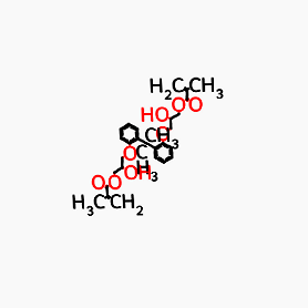 C=C(C)C(=O)OCC(O)COc1ccccc1C(C)(C)c1ccccc1OCC(O)COC(=O)C(=C)C